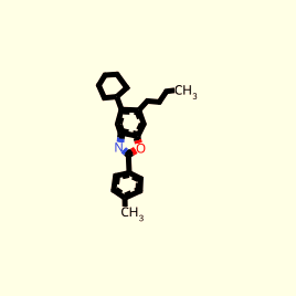 CCCCc1cc2oc(-c3ccc(C)cc3)nc2cc1C1CCCCC1